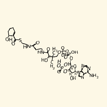 CC(C)(COP(=O)(O)OP(=O)(O)OC[C@H]1O[C@@H](n2cnc3c(N)ncnc32)[C@H](O)[C@@H]1OP(=O)(O)O)[C@@H](O)C(=O)NCCC(=O)NCCSC(=O)C1=CCCCC1O